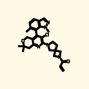 C=CC(=O)N1CC2(CCN(c3nc4c(c(-c5c(C)ccc6cnn(C)c56)c3Cl)COC(C)(C)C4)C2)C1